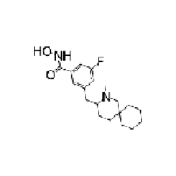 CN1CC2(CCCCC2)CCC1Cc1cc(F)cc(C(=O)NO)c1